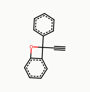 C#CC1(c2ccccc2)Oc2ccccc21